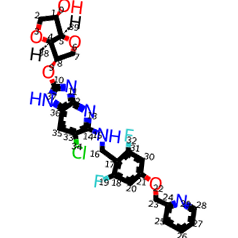 O[C@@H]1CO[C@H]2[C@@H]1OC[C@H]2Oc1nc2nc(NCc3c(F)cc(OCc4ccccn4)cc3F)c(Cl)cc2[nH]1